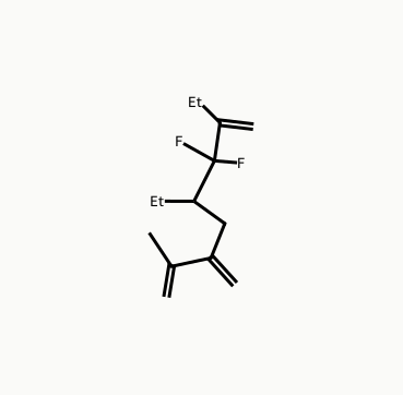 C=C(C)C(=C)CC(CC)C(F)(F)C(=C)CC